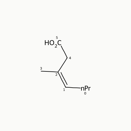 CCC/C=C(/C)CC(=O)O